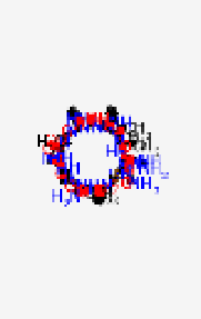 CCCC[C@H]1C(=O)N(C)[C@@H](CCCC)C(=O)N[C@@H](CCCNC(=N)N)C(=O)N[C@H](C(=O)NCC(N)=O)CSCC(=O)N[C@@H](Cc2ccccc2)C(=O)N(C)[C@@H](C)C(=O)N[C@@H](CC(N)=O)C(=O)N2CCC[C@H]2C(=O)N[C@@H](Cc2cnc[nH]2)C(=O)N[C@@H](CCC(=O)O)C(=O)N(C)CC(=O)N[C@@H](Cc2c[nH]c3ccccc23)C(=O)N[C@@H](CO)C(=O)N[C@@H](Cc2c[nH]c3ccccc23)C(=O)N1C